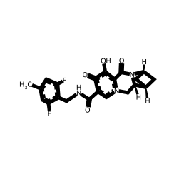 Cc1cc(F)c(CNC(=O)c2cn3c(c(O)c2=O)C(=O)N2[C@H]4C[C@H](C4)[C@@H]2C3)c(F)c1